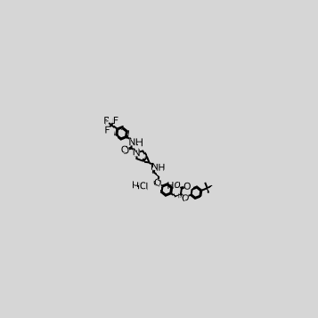 CC(C)(C)c1ccc(O[C@@H](Cc2ccc(OCCNC3C4CN(C(=O)Nc5ccc(C(F)(F)F)cc5)CC43)cc2)C(=O)O)cc1.Cl